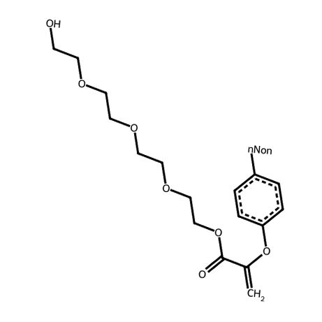 C=C(Oc1ccc(CCCCCCCCC)cc1)C(=O)OCCOCCOCCOCCO